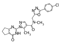 Cc1c(C(=O)N(C)Cc2nnc(-c3ccc(Cl)cc3)o2)cnn1-c1nc2c(c(=O)[nH]1)CCC2